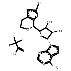 Cc1ncnc2c1ccn2[C@@H]1O[C@H]([C@@H]2OCCc3cc(Cl)sc32)[C@@H](O)[C@H]1O.O=C(O)C(F)(F)F